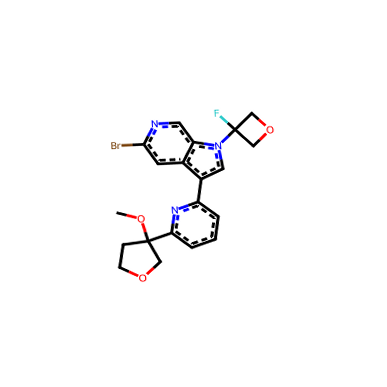 COC1(c2cccc(-c3cn(C4(F)COC4)c4cnc(Br)cc34)n2)CCOC1